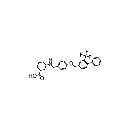 O=C(O)C1CCCC(NCc2ccc(OCc3ccc(-c4ccccc4)c(C(F)(F)F)c3)cc2)C1